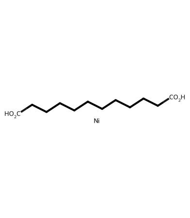 O=C(O)CCCCCCCCCCC(=O)O.[Ni]